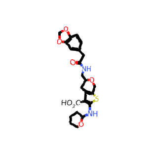 O=C(Cc1ccc2c(c1)OCO2)NCC1Cc2c(sc(NC3CCCCO3)c2C(=O)O)CO1